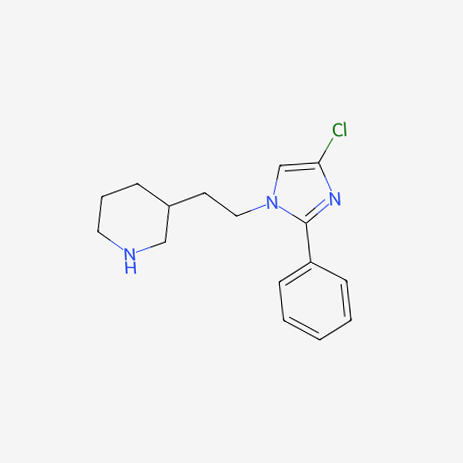 Clc1cn(CCC2CCCNC2)c(-c2ccccc2)n1